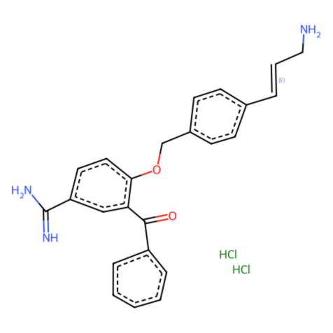 Cl.Cl.N=C(N)c1ccc(OCc2ccc(/C=C/CN)cc2)c(C(=O)c2ccccc2)c1